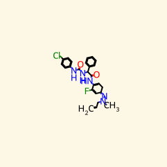 C=CCN(C)N=C1C=C(F)C(NC(=O)C(NC(=O)Nc2ccc(Cl)cc2)c2ccccc2)=CC1